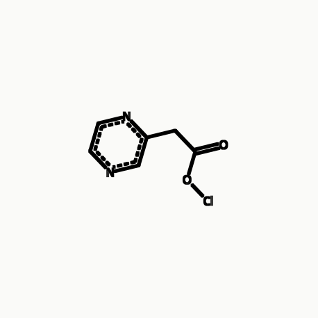 O=C(Cc1cnccn1)OCl